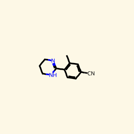 Cc1cc(C#N)ccc1C1=NCCCN1